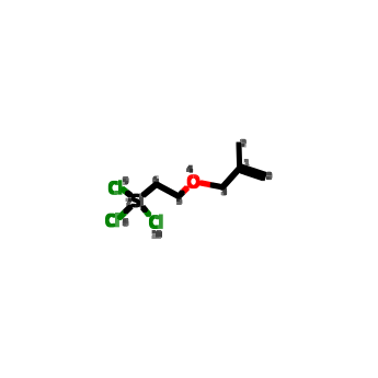 C=C(C)COCC[Si](Cl)(Cl)Cl